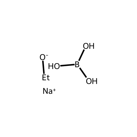 CC[O-].OB(O)O.[Na+]